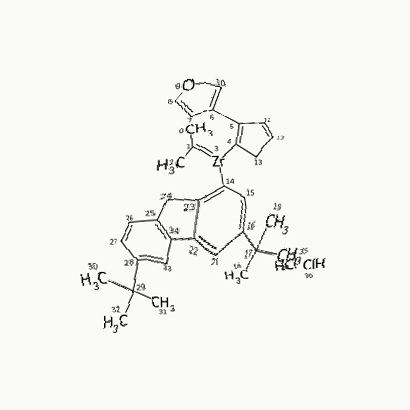 C[C](C)=[Zr]([C]1=C(c2ccoc2)C=CC1)[c]1cc(C(C)(C)C)cc2c1Cc1ccc(C(C)(C)C)cc1-2.Cl.Cl